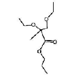 CCCOC(=O)C(C)(COCC)OCC